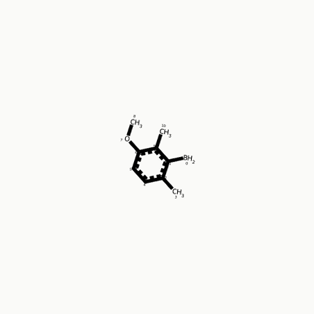 Bc1c(C)ccc(OC)c1C